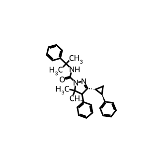 CC(C)(NC(=O)N1N=C([C@@H]2C[C@H]2c2ccccc2)C(c2ccccc2)C1(C)C)c1ccccc1